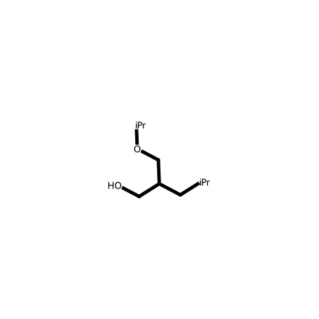 CC(C)CC(CO)COC(C)C